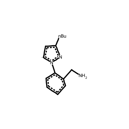 CCCCc1c[c]n(-c2ccccc2CN)n1